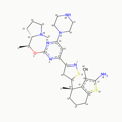 C[C@H](Oc1nc(C2=NSC([C@@]3(C)CCCc4sc(N)c(C#N)c43)C2)cc(N2CCNCC2)n1)[C@@H]1CCCN1C